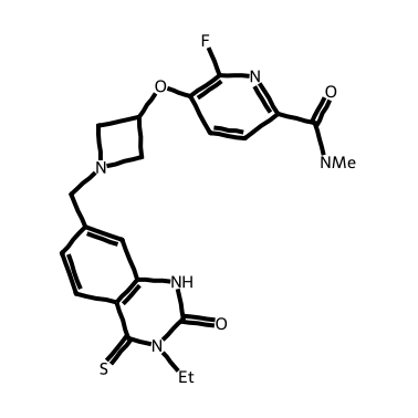 CCn1c(=O)[nH]c2cc(CN3CC(Oc4ccc(C(=O)NC)nc4F)C3)ccc2c1=S